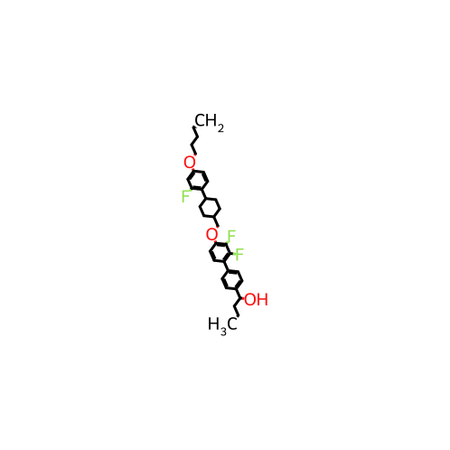 C=CCCCOc1ccc(C2CCC(COc3ccc(-c4ccc(C(O)CCC)cc4)c(F)c3F)CC2)c(F)c1